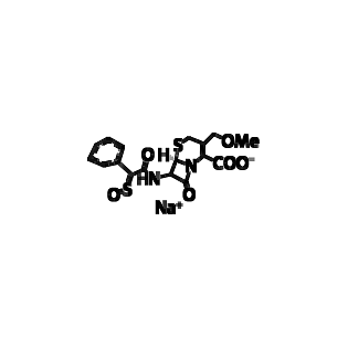 COCC1=C(C(=O)[O-])N2C(=O)C(NC(=O)C(=S=O)c3ccccc3)[C@H]2SC1.[Na+]